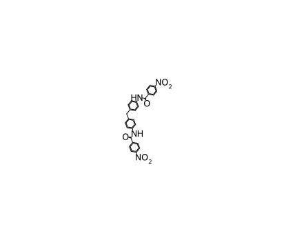 O=C(Nc1ccc(Cc2ccc(NC(=O)c3ccc([N+](=O)[O-])cc3)cc2)cc1)c1ccc([N+](=O)[O-])cc1